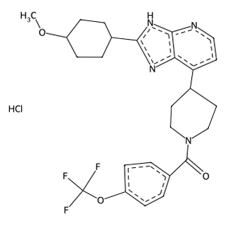 COC1CCC(c2nc3c(C4CCN(C(=O)c5ccc(OC(F)(F)F)cc5)CC4)ccnc3[nH]2)CC1.Cl